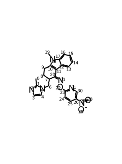 Cc1nccn1CC1CCc2c(c3ccccc3n2C)C1=NOc1ccc([N+](=O)[O-])cn1